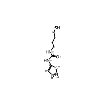 O=C(NCCCCS)Nc1cnns1